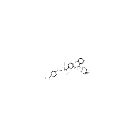 O=C(NCCc1ccc(Cl)cc1)c1ccc2c(c1)N=C(N1CCC(F)(F)CC1)c1ccccc1S2